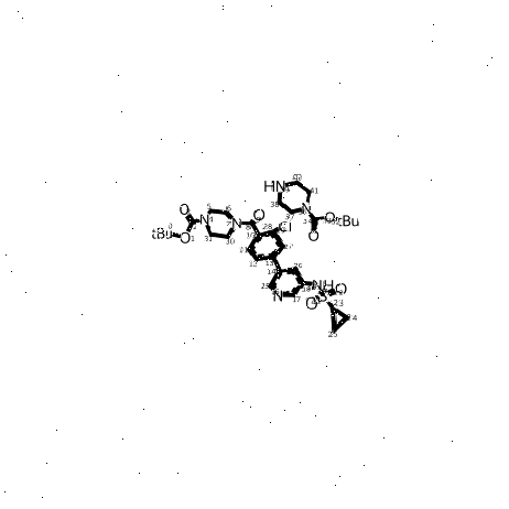 CC(C)(C)OC(=O)N1CCN(C(=O)c2ccc(-c3cncc(NS(=O)(=O)C4CC4)c3)cc2Cl)CC1.CC(C)(C)OC(=O)N1CCNCC1